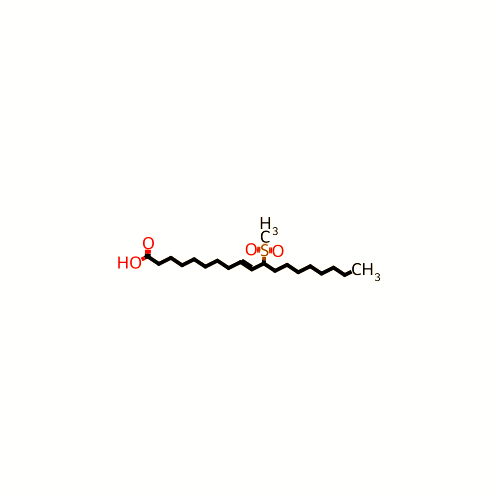 CCCCCCCCC(C=CCCCCCCCC(=O)O)S(C)(=O)=O